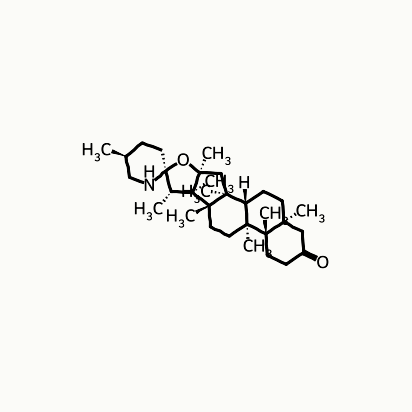 C[C@H]1CC[C@]2(NC1)O[C@@]1(C)C[C@@]3(C)[C@@H]4CC[C@@]5(C)CC(=O)CC[C@]5(C)[C@@]4(C)CC[C@]3(C)[C@@]1(C)[C@@H]2C